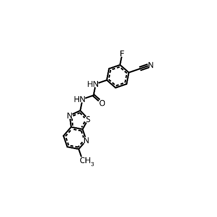 Cc1ccc2nc(NC(=O)Nc3ccc(C#N)c(F)c3)sc2n1